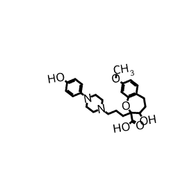 COc1ccc2c(c1)OC(CCCN1CCN(c3ccc(O)cc3)CC1)(C(=O)O)C(O)CC2